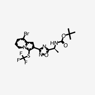 C[C@H](NC(=O)OC(C)(C)C)c1nc(-c2cc3c(Br)cccn3c2SC(F)(F)F)no1